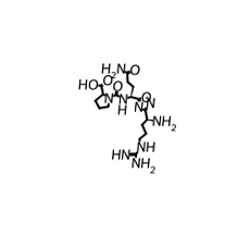 N=C(N)NCCC[C@H](N)c1noc([C@H](CCC(N)=O)NC(=O)N2CCCC2C(=O)O)n1